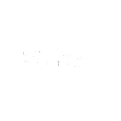 CC(C)(C)OC(=O)NCc1cccc(C(C)(C)C)c1